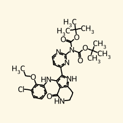 CCOc1c(Cl)cccc1Nc1c(-c2ccnc(N(C(=O)OC(C)(C)C)C(=O)OC(C)(C)C)n2)[nH]c2c1C(=O)NCC2